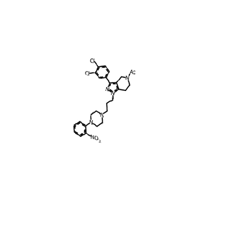 CC(=O)N1CCc2c(c(-c3ccc(Cl)c(Cl)c3)nn2CCCN2CCN(c3ccccc3[N+](=O)[O-])CC2)C1